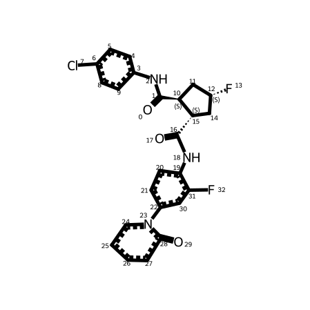 O=C(Nc1ccc(Cl)cc1)[C@H]1C[C@H](F)C[C@@H]1C(=O)Nc1ccc(-n2ccccc2=O)cc1F